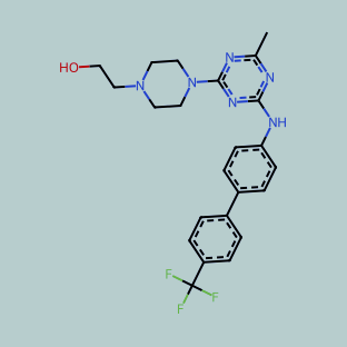 Cc1nc(Nc2ccc(-c3ccc(C(F)(F)F)cc3)cc2)nc(N2CCN(CCO)CC2)n1